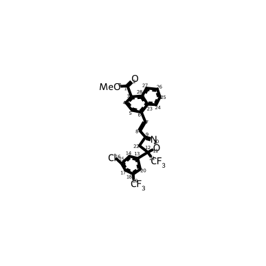 COC(=O)c1ccc(C=CC2=NOC(c3cc(Cl)cc(C(F)(F)F)c3)(C(F)(F)F)C2)c2ccccc12